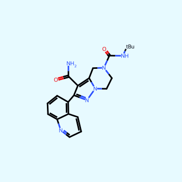 CC(C)(C)NC(=O)N1CCn2nc(-c3cccc4ncccc34)c(C(N)=O)c2C1